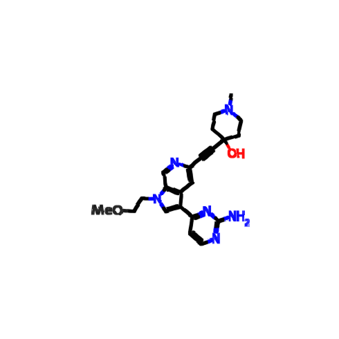 COCCn1cc(-c2ccnc(N)n2)c2cc(C#CC3(O)CCN(C)CC3)ncc21